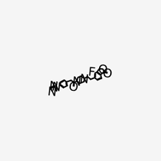 O=C1OCc2c1ccc(CCN1CCN(C(=O)Cc3ccc(-n4cncn4)cc3)CC1)c2F